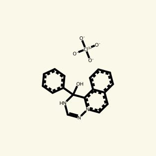 OC1(c2ccccc2)NC=N[n+]2ccc3ccccc3c21.[O-][Cl+3]([O-])([O-])[O-]